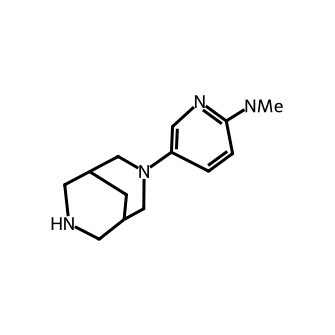 CNc1ccc(N2CC3CNCC(C3)C2)cn1